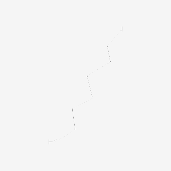 SCCCCCCI